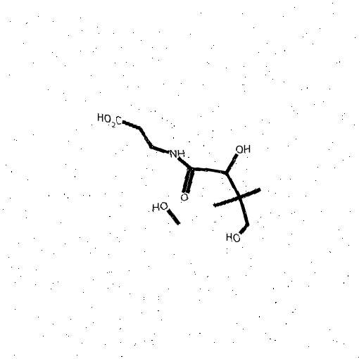 CC(C)(CO)C(O)C(=O)NCCC(=O)O.CO